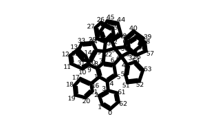 c1ccc(-c2cc3c(c(-c4ccccc4)c2-c2ccccc2)C(c2ccccc2)(c2ccccc2)C(c2ccccc2)(c2ccccc2)C3(c2ccccc2)c2ccccc2)cc1